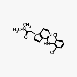 CN(C)C(=O)Cn1ccc2c(Nc3c(Cl)cccc3Cl)nccc21